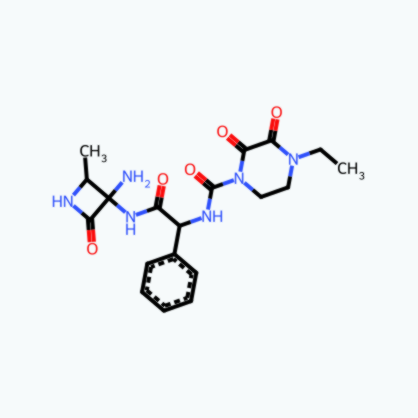 CCN1CCN(C(=O)NC(C(=O)NC2(N)C(=O)NC2C)c2ccccc2)C(=O)C1=O